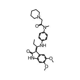 CCC(Nc1ccc(N(C)C(=O)CN2CCCCC2)cc1)=C1C(=O)Nc2cc(OC)c(OC)cc21